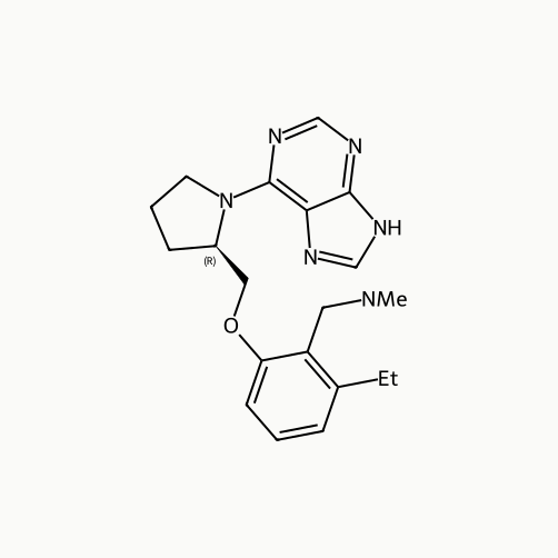 CCc1cccc(OC[C@H]2CCCN2c2ncnc3[nH]cnc23)c1CNC